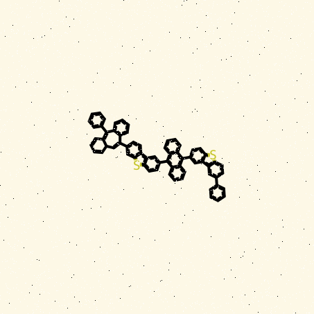 C1=CC2=C(c3ccccc3)c3ccccc3C(c3ccc4c(c3)sc3ccc(-c5c6ccccc6c(-c6ccc7sc8ccc(-c9ccccc9)cc8c7c6)c6ccccc56)cc34)=CC2C=C1